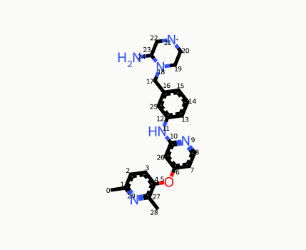 Cc1ccc(Oc2ccnc(Nc3cccc(CN4CC[N]CC4N)c3)c2)c(C)n1